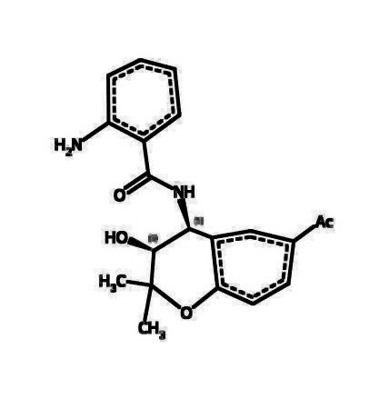 CC(=O)c1ccc2c(c1)[C@H](NC(=O)c1ccccc1N)[C@H](O)C(C)(C)O2